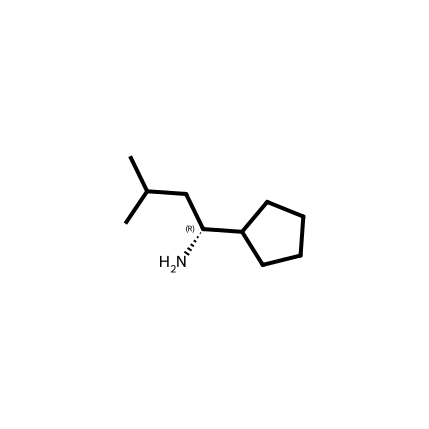 CC(C)C[C@@H](N)C1CCCC1